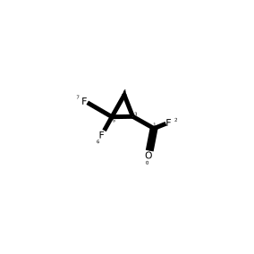 O=C(F)C1CC1(F)F